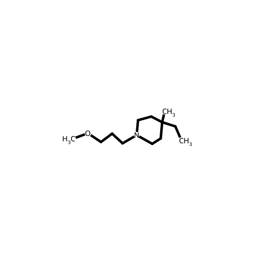 CCC1(C)CCN(CCCOC)CC1